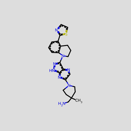 CC1(CN)CCN(c2cnc3c(N4CCCc5c(-c6nccs6)cccc54)n[nH]c3n2)CC1